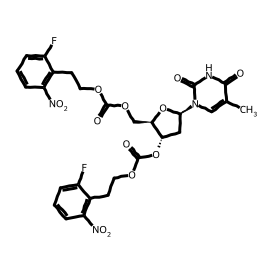 Cc1cn([C@H]2C[C@H](OC(=O)OCCc3c(F)cccc3[N+](=O)[O-])[C@@H](COC(=O)OCCc3c(F)cccc3[N+](=O)[O-])O2)c(=O)[nH]c1=O